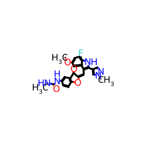 CNC(=O)Nc1ccc2c(c1)C(=O)C(=Cc1c(-c3cnn(C)c3)[nH]c3c(F)cc(OC)cc13)O2